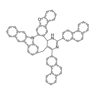 c1ccc2cc3c(cc2c1)c1ccc2cc1n3-c1cc3oc4ccccc4c3cc1C1NC(c3ccc4c(ccc5ccccc54)c3)=NC(c3ccc4c(ccc5ccccc54)c3)=C1C2